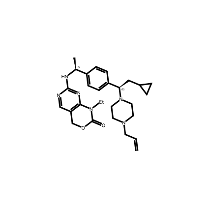 C=CCN1CCN([C@H](CC2CC2)c2ccc([C@H](C)Nc3ncc4c(n3)N(CC)C(=O)OC4)cc2)CC1